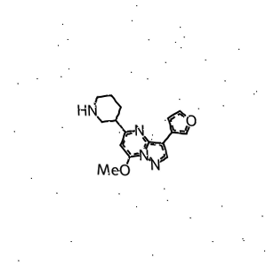 COc1cc(C2CCCNC2)nc2c(-c3ccoc3)cnn12